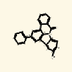 O=c1c2ccccc2c2cc(-c3ccccc3)cc3c4cc(O)ccc4n1c23